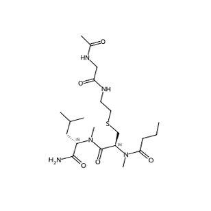 CCCC(=O)N(C)[C@H](CSCCNC(=O)CNC(C)=O)C(=O)N(C)[C@@H](CC(C)C)C(N)=O